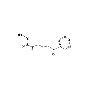 CC(C)(C)OC(=O)NCCCC(=O)c1cccnc1